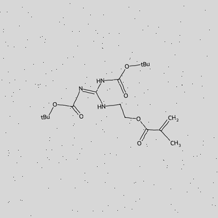 C=C(C)C(=O)OCCN/C(=N\C(=O)OC(C)(C)C)NC(=O)OC(C)(C)C